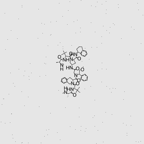 CN[C@@H](C)C(=O)NC(C(=O)N1CC(NC(=O)CN(C(=O)C2Cc3ccccc3CN2C(=O)C(NC(=O)[C@H](C)NC)C(C)(C)C)C(COC)c2ccccc2)CC1C(=O)NC1CCCc2ccccc21)C(C)(C)C